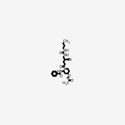 CCCCNC(=O)NCC(C#N)CCC(=O)N1CCC(OOC(C)=O)CC1NC(=O)c1ccccc1